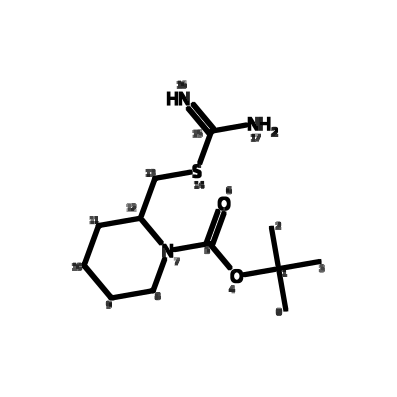 CC(C)(C)OC(=O)N1CCCCC1CSC(=N)N